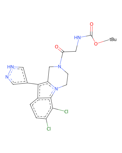 CC(C)(C)OC(=O)NCC(=O)N1CCn2c(c(-c3cn[nH]c3)c3ccc(Cl)c(Cl)c32)C1